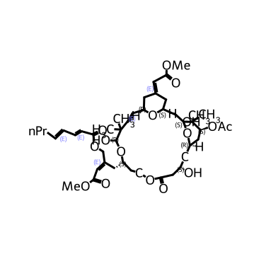 CCC/C=C/C=C/C(=O)OC/C(=C/C(=O)OC)C[C@H]1CCOC(=O)C[C@@H](O)C[C@@H]2C[C@H](OC(C)=O)C(C)(C)[C@](O)(C[C@@H]3C/C(=C\C(=O)OC)C[C@H](/C=C/C(C)(C)[C@H](O)O1)O3)O2